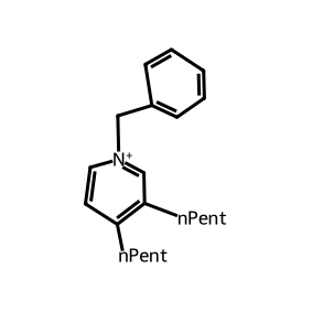 CCCCCc1cc[n+](Cc2ccccc2)cc1CCCCC